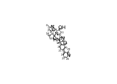 Cc1cc(C(C(=O)N2C[C@H](O)C[C@@H]2C2=NC(=O)[C@](C)(c3ccc(-c4cccnc4C)cc3)N2)C(C)C)on1